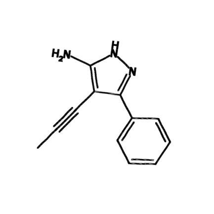 CC#Cc1c(-c2ccccc2)n[nH]c1N